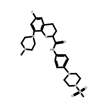 CN1CCN(c2cc(F)cc3c2OC(C(=O)Nc2ccc(N4CCN(S(C)(=O)=O)CC4)cc2)CC3)CC1